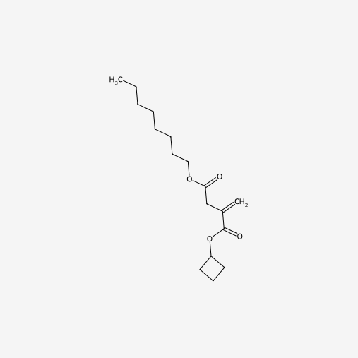 C=C(CC(=O)OCCCCCCCC)C(=O)OC1CCC1